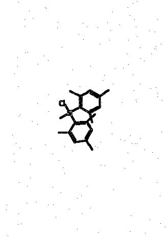 Cc1cc(C)c([Si](C)(Cl)c2c(C)cc(C)cc2C)c(C)c1